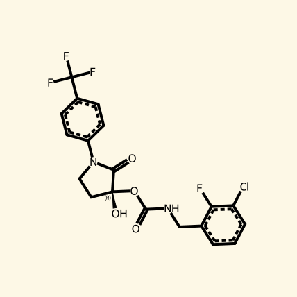 O=C(NCc1cccc(Cl)c1F)O[C@]1(O)CCN(c2ccc(C(F)(F)F)cc2)C1=O